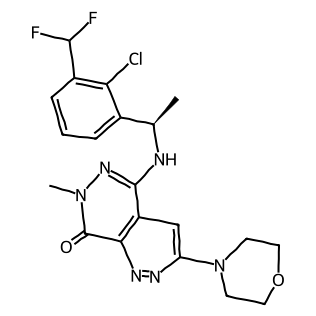 C[C@@H](Nc1nn(C)c(=O)c2nnc(N3CCOCC3)cc12)c1cccc(C(F)F)c1Cl